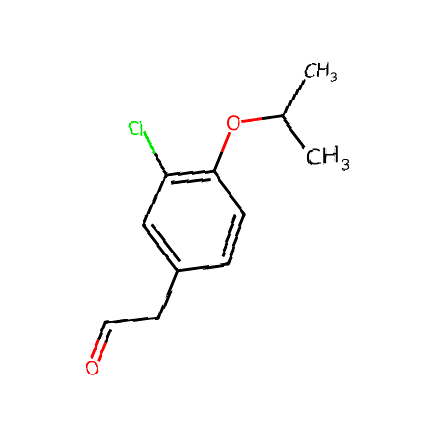 CC(C)Oc1ccc(CC=O)cc1Cl